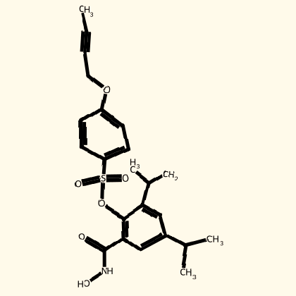 CC#CCOc1ccc(S(=O)(=O)Oc2c(C(=O)NO)cc(C(C)C)cc2C(C)C)cc1